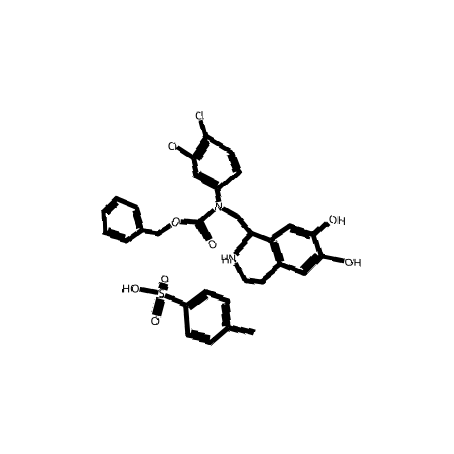 Cc1ccc(S(=O)(=O)O)cc1.O=C(OCc1ccccc1)N(CC1NCCc2cc(O)c(O)cc21)c1ccc(Cl)c(Cl)c1